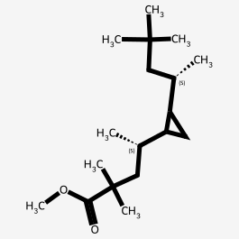 COC(=O)C(C)(C)C[C@H](C)C1CC1[C@@H](C)CC(C)(C)C